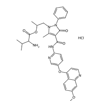 COc1ccc2c(Oc3ccc(NC(=O)c4c(C)n(CC(C)OC(=O)C(N)C(C)C)n(-c5ccccc5)c4=O)nc3)ccnc2c1.Cl